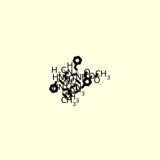 CC(=O)Oc1ccc(C[N+]2(CC(=O)N[C@@H](CCc3ccccc3)C(=O)N[C@@H](C)C(=O)N[C@@H](Cc3ccccc3)C(=O)N[C@@H](CC(C)C)C(=O)[C@@]3(C)CO3)CCOCC2)cc1C=O